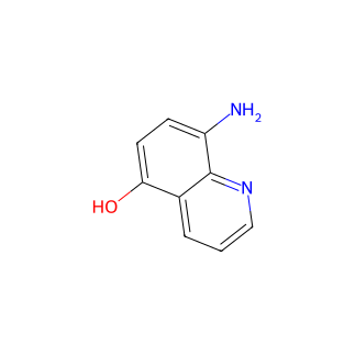 Nc1ccc(O)c2cccnc12